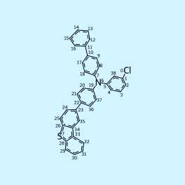 Clc1cccc(N(c2ccc(-c3ccccc3)cc2)c2ccc(-c3ccc4sc5ccccc5c4c3)cc2)c1